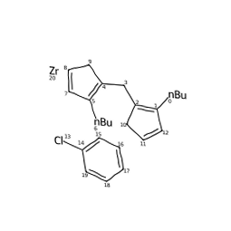 CCCCC1=C(CC2=C(CCCC)C=CC2)CC=C1.Clc1ccccc1.[Zr]